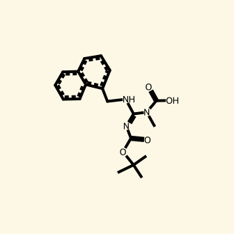 CN(C(=O)O)C(=NC(=O)OC(C)(C)C)NCc1cccc2ccccc12